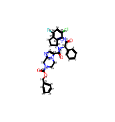 NC(=O)[C@@H](c1ccccc1)N(C(=O)c1cnc2n1CCN(C(=O)OCc1ccccc1)C2)[C@@H]1CCc2c(F)cc(Cl)cc21